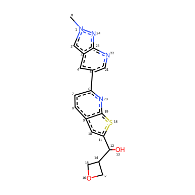 Cn1cc2cc(-c3ccc4cc(C(O)C5COC5)sc4n3)cnc2n1